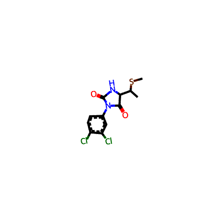 CSC(C)C1NC(=O)N(c2ccc(Cl)c(Cl)c2)C1=O